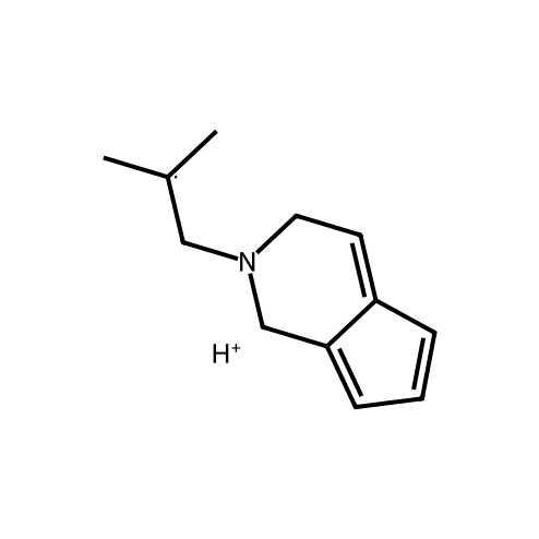 C[C](C)CN1CC=C2C=CC=C2C1.[H+]